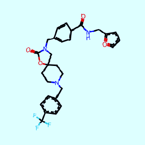 O=C(NCc1ccco1)C1C=CC(CN2CC3(CCN(Cc4ccc(C(F)(F)F)cc4)CC3)OC2=O)=CC1